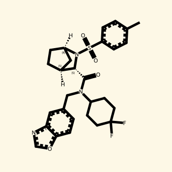 Cc1ccc(S(=O)(=O)N2[C@@H]3CC[C@@H](C3)[C@H]2C(=O)N(Cc2ccc3ocnc3c2)C2CCC(F)(F)CC2)cc1